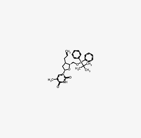 C=CCC1C[C@H](n2cc(C)c(=O)[nH]c2=O)O[C@@H]1CO[Si](c1ccccc1)(c1ccccc1)C(C)(C)C